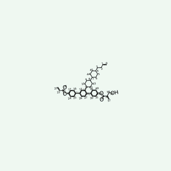 C=CCCC1CCC(C2CCC(c3cc(-c4ccc(OC(=O)C=C)cc4)ccc3-c3ccc(OC(=O)C(=C)CO)cc3)CC2)CC1